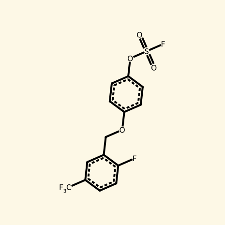 O=S(=O)(F)Oc1ccc(OCc2cc(C(F)(F)F)ccc2F)cc1